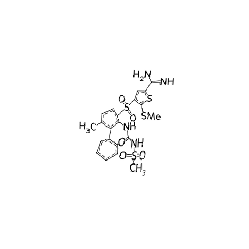 CSc1sc(C(=N)N)cc1S(=O)(=O)c1ccc(C)c(-c2ccccc2)c1NC(=O)NS(C)(=O)=O